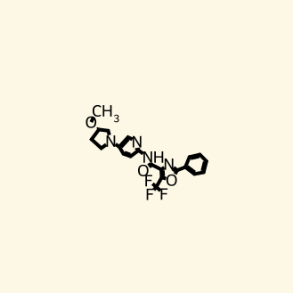 CO[C@H]1CCN(c2ccc(NC(=O)c3nc(-c4ccccc4)oc3C(F)(F)F)nc2)C1